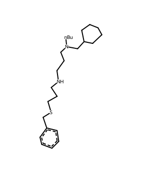 CCCCN(CCCNCCCSCc1ccccc1)CC1CCCCC1